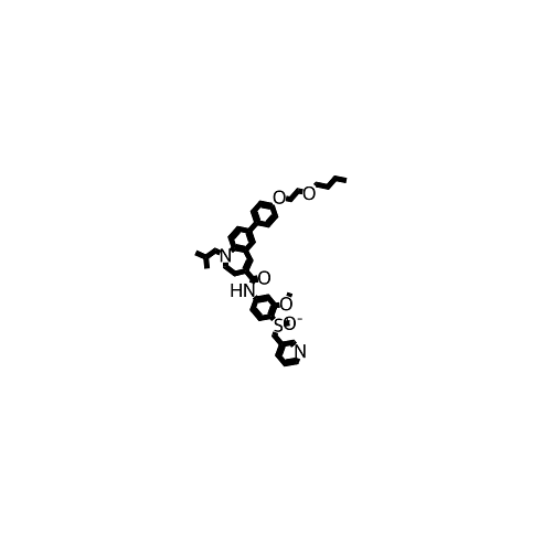 CCCCOCCOc1ccc(-c2ccc3c(c2)C=C(C(=O)Nc2ccc([S+]([O-])Cc4cccnc4)c(OC)c2)CCN3CC(C)C)cc1